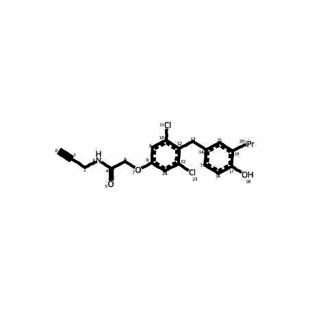 C#CCNC(=O)COc1cc(Cl)c(Cc2ccc(O)c(C(C)C)c2)c(Cl)c1